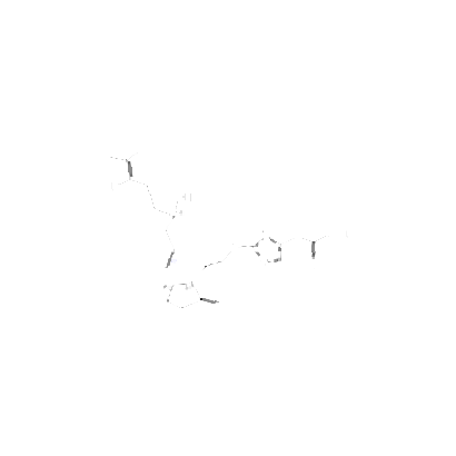 C[C@](O)(C/C=C/[C@H]1CCC(=O)[C@@H]1CCSc1nc(OC(=O)O)cs1)CCC(F)=C(F)F